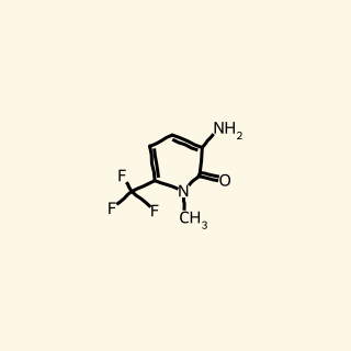 Cn1c(C(F)(F)F)ccc(N)c1=O